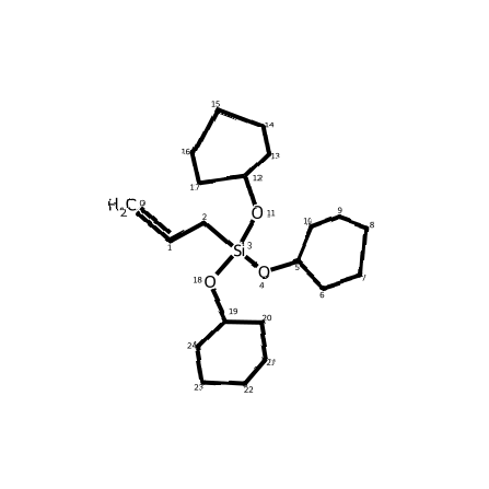 C=CC[Si](OC1CCCCC1)(OC1CCCCC1)OC1CCCCC1